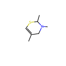 CC1=CSC(C)N(C)C1